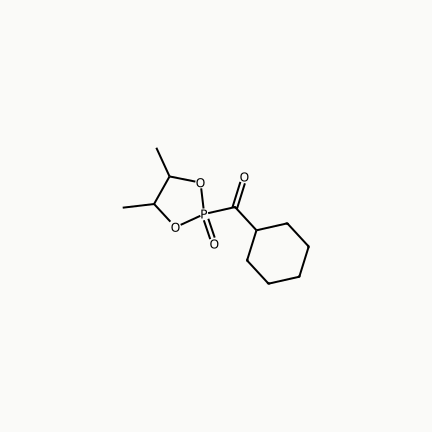 CC1OP(=O)(C(=O)C2CCCCC2)OC1C